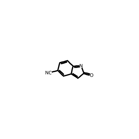 N#Cc1ccc2c(c1)=CC(=O)N=2